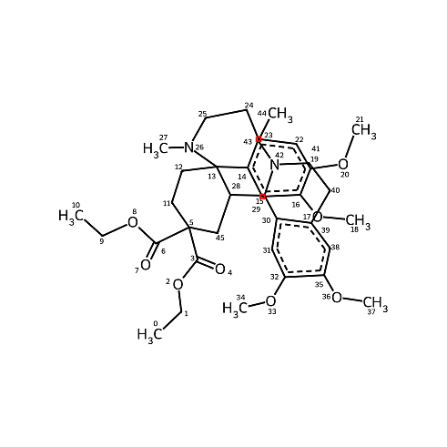 CCOC(=O)C1(C(=O)OCC)CCC2(c3cc(OC)c(OC)cc3CCN2C)C(C2c3cc(OC)c(OC)cc3CCN2CC)C1